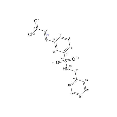 O=C(Cl)/C=C/c1cccc(S(=O)(=O)NCc2ccccc2)c1